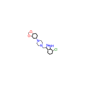 Clc1cccc2c(CN3CCN(c4ccc5c(c4)OCO5)CC3)n[nH]c12